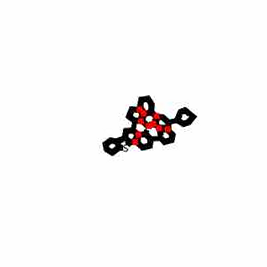 c1ccc(-c2ccc(N(c3ccccc3-c3ccc4sc5ccccc5c4c3)c3ccccc3-c3ccccc3-c3ccc4ccccc4c3)cc2)cc1